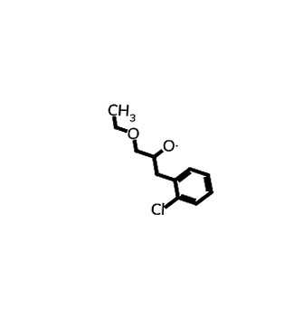 CCOCC([O])Cc1ccccc1Cl